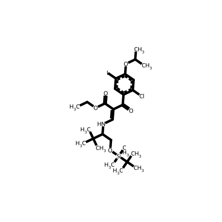 CCOC(=O)C(=CNC(CO[Si](C)(C)C(C)(C)C)C(C)(C)C)C(=O)c1cc(I)c(OC(C)C)cc1Cl